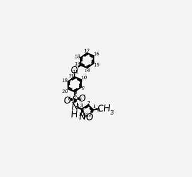 Cc1cc(NS(=O)(=O)c2ccc(Oc3ccccc3)cc2)no1